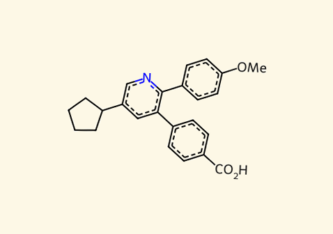 COc1ccc(-c2ncc(C3CCCC3)cc2-c2ccc(C(=O)O)cc2)cc1